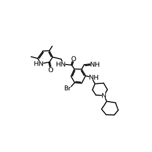 Cc1cc(C)c(CNC(=O)c2cc(Br)cc(NC3CCN(C4CCCCC4)CC3)c2C=N)c(=O)[nH]1